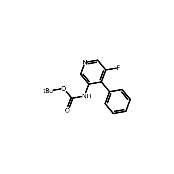 CC(C)(C)OC(=O)Nc1cncc(F)c1-c1ccccc1